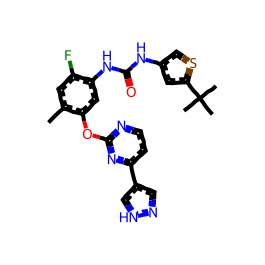 Cc1cc(F)c(NC(=O)Nc2csc(C(C)(C)C)c2)cc1Oc1nccc(-c2cn[nH]c2)n1